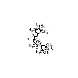 CC1(C)CC(CC(=O)C(C)(C)CC(C)(C)C(=O)OC2CC(C)(C)NC(C)(C)C2)CC(C)(C)N1